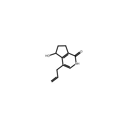 C=CCc1c[nH]c(=O)c2c1C(O)CC2